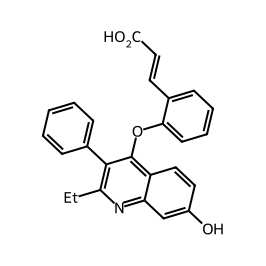 CCc1nc2cc(O)ccc2c(Oc2ccccc2C=CC(=O)O)c1-c1ccccc1